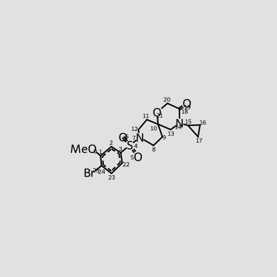 COc1cc(S(=O)(=O)N2CCC3(CC2)CN(C2CC2)C(=O)CO3)ccc1Br